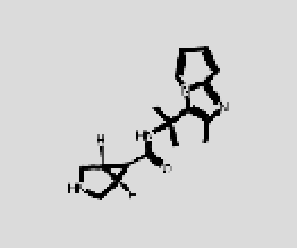 Cc1nc2ccccn2c1C(C)(C)NC(=O)[C@H]1[C@@H]2CNC[C@@H]21